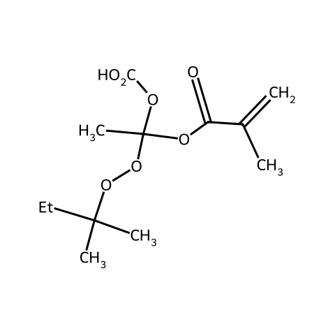 C=C(C)C(=O)OC(C)(OOC(C)(C)CC)OC(=O)O